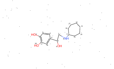 Oc1ccc(C(O)CNC2CCCCCC2)cc1O